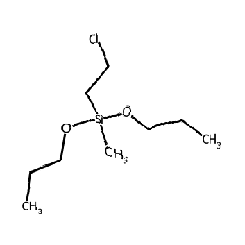 CCCO[Si](C)(CCCl)OCCC